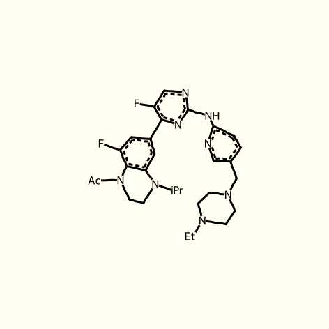 CCN1CCN(Cc2ccc(Nc3ncc(F)c(-c4cc(F)c5c(c4)N(C(C)C)CCN5C(C)=O)n3)nc2)CC1